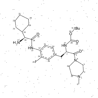 CN1CCN(C(=O)[C@@H](Cc2ccc(NC(=O)[C@@H](N)C3CCCCC3)c(F)c2)NC(=O)OC(C)(C)C)CC1